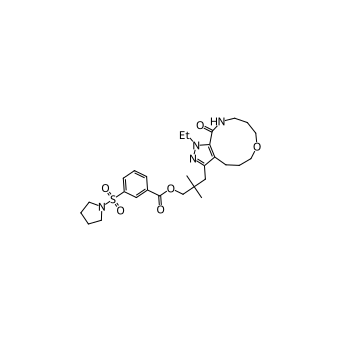 CCn1nc(CC(C)(C)COC(=O)c2cccc(S(=O)(=O)N3CCCC3)c2)c2c1C(=O)NCCCOCCC2